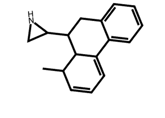 CC1C=CC=C2c3ccccc3CC(C3CN3)C21